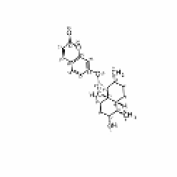 C=C1CC[C@@H]2[C@@H](C)[C@@H](O)CC[C@]2(C)[C@@H]1COc1ccc2ccc(=O)oc2c1